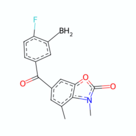 Bc1cc(C(=O)c2cc(C)c3c(c2)oc(=O)n3C)ccc1F